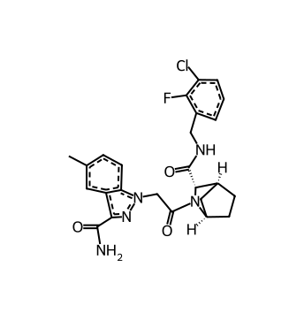 Cc1ccc2c(c1)c(C(N)=O)nn2CC(=O)N1[C@@H]2CC[C@@H](C2)[C@H]1C(=O)NCc1cccc(Cl)c1F